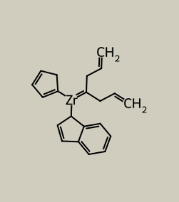 C=CC[C](CC=C)=[Zr]([C]1=CC=CC1)[CH]1C=Cc2ccccc21